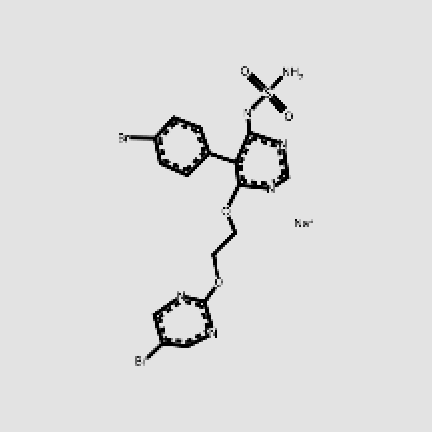 NS(=O)(=O)[N-]c1ncnc(OCCOc2ncc(Br)cn2)c1-c1ccc(Br)cc1.[Na+]